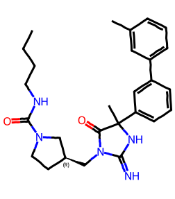 CCCCNC(=O)N1CC[C@H](CN2C(=N)NC(C)(c3cccc(-c4cccc(C)c4)c3)C2=O)C1